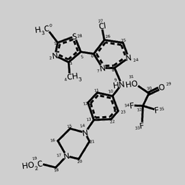 Cc1nc(C)c(-c2nc(Nc3ccc(N4CCN(CC(=O)O)CC4)cc3)ncc2Cl)s1.O=C(O)C(F)(F)F